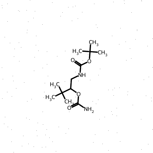 CC(C)(C)OC(=O)NCC(OC(N)=O)C(C)(C)C